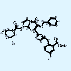 COC(=O)c1cc(F)ccc1Cc1cnc(-c2nc3n(CC(=O)N4C[C@H](C)O[C@@H](C)C4)ccn3c(=O)c2OCc2ccccc2)s1